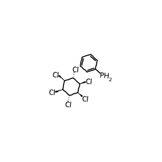 Cl[C@H]1[C@H](Cl)[C@@H](Cl)[C@@H](Cl)[C@H](Cl)[C@H]1Cl.Pc1ccccc1